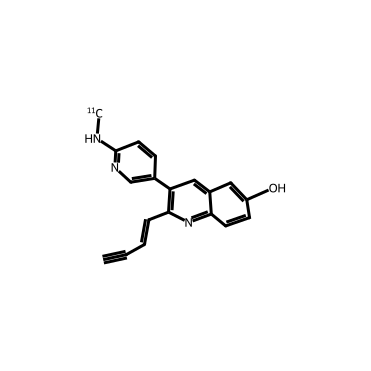 C#CC=Cc1nc2ccc(O)cc2cc1-c1ccc(N[11CH3])nc1